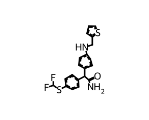 NC(=O)C(c1ccc(NCc2cccs2)cc1)c1ccc(SC(F)F)cc1